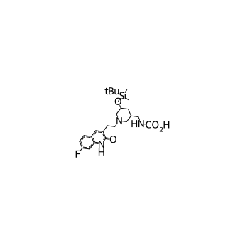 CC(C)(C)[Si](C)(C)OC1CC(CNC(=O)O)CN(CCc2cc3ccc(F)cc3[nH]c2=O)C1